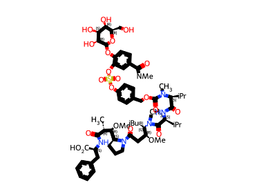 CC[C@@H](C)[C@@H]([C@@H](CC(=O)N1CCC[C@H]1[C@H](OC)[C@@H](C)C(=O)N[C@@H](Cc1ccccc1)C(=O)O)OC)N(C)C(=O)[C@@H](NC(=O)[C@H](C(C)C)N(C)C(=O)OCc1ccc(OS(=O)(=O)Oc2cc(C(=O)NC)ccc2OC2O[C@H](CO)[C@H](O)[C@H](O)[C@H]2O)cc1)C(C)C